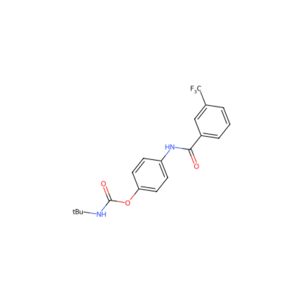 CC(C)(C)NC(=O)Oc1ccc(NC(=O)c2cccc(C(F)(F)F)c2)cc1